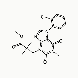 COC(=O)C(C)(C)Cn1c(=O)n(C)c(=O)c2c1ncn2-c1ccccc1Cl